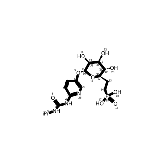 CC(C)NC(=O)Nc1ccc(O[C@H]2O[C@H](CCP(=O)(O)O)[C@@H](O)[C@H](O)[C@@H]2O)cn1